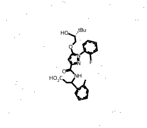 Cc1ccccc1C(CC(=O)O)NC(=O)c1cc(OC[C@H](O)C(C)(C)C)n(-c2ccccc2F)n1